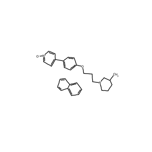 CC1CCCN(CCCOc2ccc(-c3cc[n+]([O-])cc3)cc2)C1.c1ccc2ccccc2c1